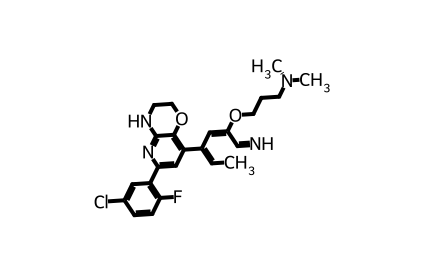 C/C=C(\C=C(/C=N)OCCCN(C)C)c1cc(-c2cc(Cl)ccc2F)nc2c1OCCN2